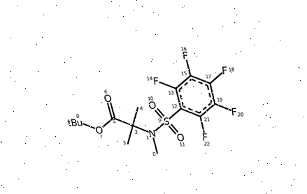 CN(C(C)(C)C(=O)OC(C)(C)C)S(=O)(=O)c1c(F)c(F)c(F)c(F)c1F